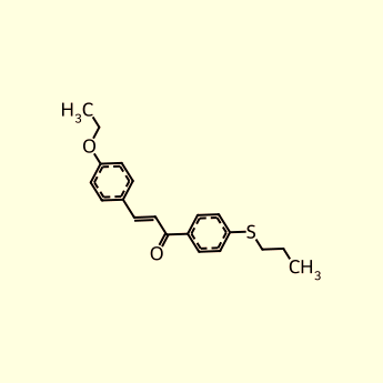 CCCSc1ccc(C(=O)C=Cc2ccc(OCC)cc2)cc1